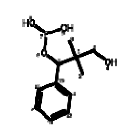 CC(C)(CO)C(OP(O)O)c1ccccc1